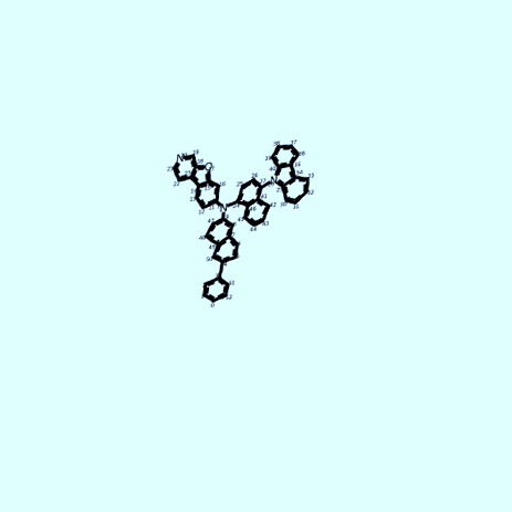 c1ccc(-c2ccc3cc(N(c4ccc5c(c4)oc4cnccc45)c4ccc(-n5c6ccccc6c6ccccc65)c5ccccc45)ccc3c2)cc1